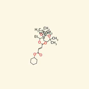 CCC(OC(=O)C=CC(=O)OC1CCCCC1)[Si]1(O[Si](C)(C)C)CCC(C)(C)O[Si]1(C)C